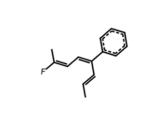 C/C=C/C(=C\C=C(/C)F)c1ccccc1